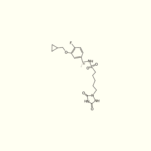 C[C@@H](NS(=O)(=O)CCCCCn1[nH]c(=O)[nH]c1=O)c1ccc(F)c(OCC2CC2)c1